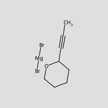 CC#CC1CCCCO1.[Br][Mg][Br]